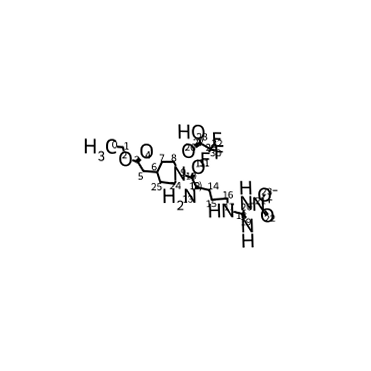 CCOC(=O)CC1CCN(C(=O)[C@@H](N)CCCNC(=N)N[N+](=O)[O-])CC1.O=C(O)C(F)(F)F